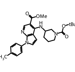 COC(=O)c1cnc2c(ccn2-c2ccc(C)cc2)c1NC1CCCN(C(=O)OC(C)(C)C)C1